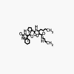 C=CCNC(=O)C(=O)C(CCCC)NC(=O)[C@@H]1CCCN1C(=O)[C@@H](NC(N)=O)C1CCCCC1